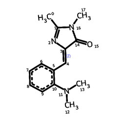 CC1=N/C(=C\c2ccccc2N(C)C)C(=O)N1C